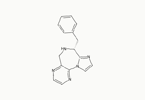 c1ccc(C[C@H]2NCc3nccnc3-n3ccnc32)cc1